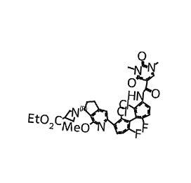 CCOC(=O)C1CN([C@@H]2CCc3cc(-c4ccc(F)c(-c5c(F)ccc(NC(=O)c6cn(C)c(=O)n(C)c6=O)c5Cl)c4Cl)nc(OC)c32)C1